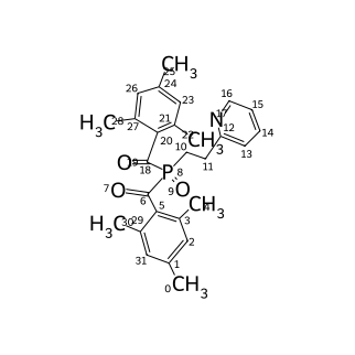 Cc1cc(C)c(C(=O)P(=O)(CCc2ccccn2)C(=O)c2c(C)cc(C)cc2C)c(C)c1